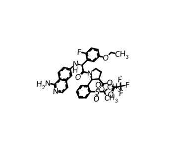 CCOc1ccc(F)c([C@H](Nc2ccc3c(N)nccc3c2)C(=O)N2CCC(C(=O)OC(=O)C(F)(F)F)C2c2ccccc2S(=O)(=O)C(C)C)c1